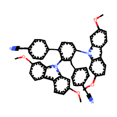 COc1ccc2c3ccc(OC)cc3n(-c3ccc(-c4ccc(C#N)cc4)c(-n4c5cc(OC)ccc5c5ccc(OC)cc54)c3-c3ccc(C#N)cc3)c2c1